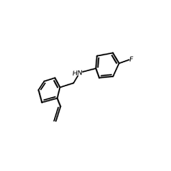 C=Cc1ccccc1CNc1ccc(F)cc1